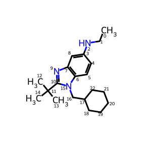 CCNc1ccc2c(c1)nc(C(C)(C)C)n2CC1CCCCC1